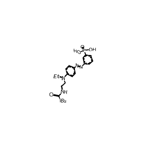 CC[C@H](C)C(=O)NCCN(CC)c1ccc(/N=N/c2cccc(P(=O)(O)O)c2)cc1